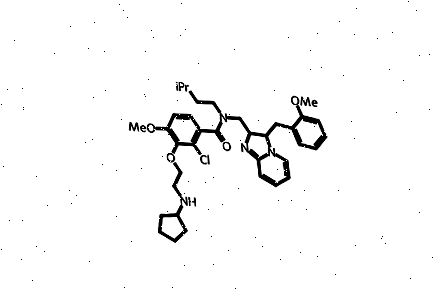 COc1ccccc1CC1C(CN(CCC(C)C)C(=O)c2ccc(OC)c(OCCNC3CCCC3)c2Cl)N=C2C=CC=CN21